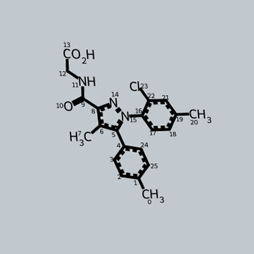 Cc1ccc(-c2c(C)c(C(=O)NCC(=O)O)nn2-c2ccc(C)cc2Cl)cc1